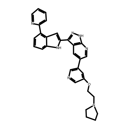 c1ccc(-c2cccc3[nH]c(-c4n[nH]c5ncc(-c6cncc(OCCN7CCCC7)c6)cc45)cc23)nc1